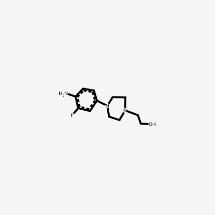 Nc1ccc(N2CCN(CCO)CC2)cc1F